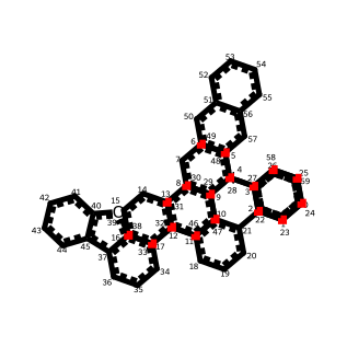 c1ccc(-c2ccccc2-c2c(-c3ccccc3)cccc2-c2ccccc2N(c2ccc(-c3cccc4c3oc3ccccc34)cc2)c2ccc3ccccc3c2)cc1